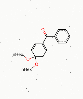 CCCCCCOC1(OCCCCCC)C=CC(C(=O)c2ccccc2)=CC1